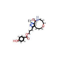 CCn1nc(CCCOC(=O)c2ccc(O)cc2)c2c1C(=O)NCCCOCCC2